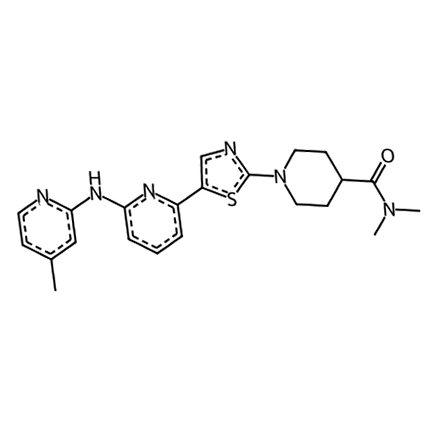 Cc1ccnc(Nc2cccc(-c3cnc(N4CCC(C(=O)N(C)C)CC4)s3)n2)c1